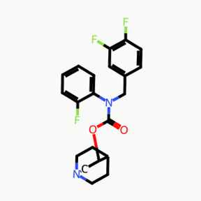 O=C(OC1CN2CCC1CC2)N(Cc1ccc(F)c(F)c1)c1ccccc1F